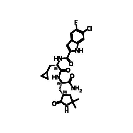 CC1(C)C[C@@H](C[C@H](NC(=O)[C@H](CC2CC2)NC(=O)c2cc3cc(F)c(Cl)cc3[nH]2)C(N)=O)C(=O)N1